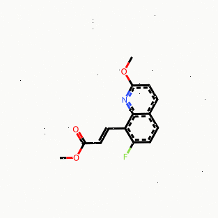 COC(=O)/C=C/c1c(F)ccc2ccc(OC)nc12